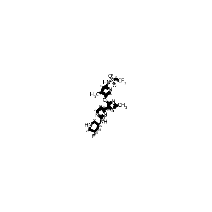 Cc1nc(Oc2cnc(NS(=O)(=O)CC(F)(F)F)cc2C)c(-c2ccnc(N[C@@H]3CNC[C@@H](F)C3)n2)s1